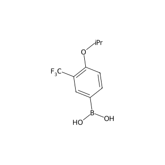 CC(C)Oc1ccc(B(O)O)cc1C(F)(F)F